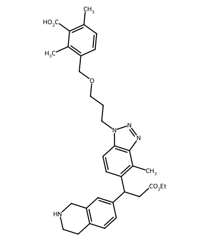 CCOC(=O)CC(c1ccc2c(c1)CNCC2)c1ccc2c(nnn2CCCOCc2ccc(C)c(C(=O)O)c2C)c1C